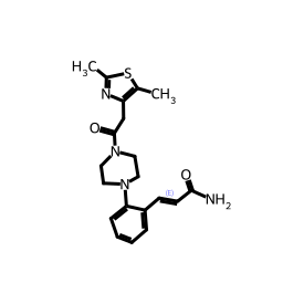 Cc1nc(CC(=O)N2CCN(c3ccccc3/C=C/C(N)=O)CC2)c(C)s1